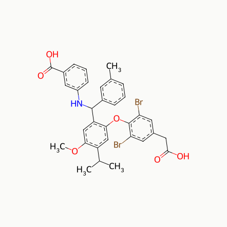 COc1cc(C(Nc2cccc(C(=O)O)c2)c2cccc(C)c2)c(Oc2c(Br)cc(CC(=O)O)cc2Br)cc1C(C)C